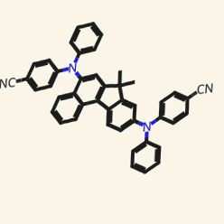 CC1(C)c2cc(N(c3ccccc3)c3ccc(C#N)cc3)ccc2-c2c1cc(N(c1ccccc1)c1ccc(C#N)cc1)c1ccccc21